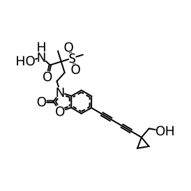 CC(CCn1c(=O)oc2cc(C#CC#CC3(CO)CC3)ccc21)(C(=O)NO)S(C)(=O)=O